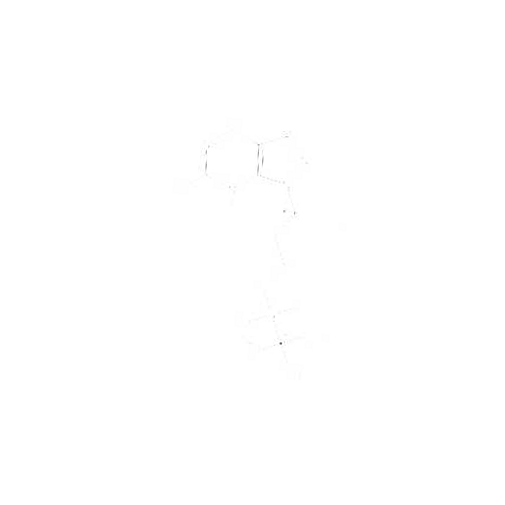 C[C@H](CCO[Si](C)(C)C(C)(C)C)n1ncc2cnc(Cl)nc21